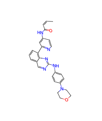 C/C=C\C(=O)Nc1ccnc(-c2cccc3cnc(Nc4ccc(N5CCOCC5)cc4)nc23)c1